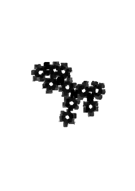 c1ccc(-c2ccc(N(c3ccc(N(c4ccccc4)c4cccc5cc6sc7ccccc7c6cc45)cc3)c3ccc4c5ccccc5n(-c5ccccc5)c4c3)cc2)cc1